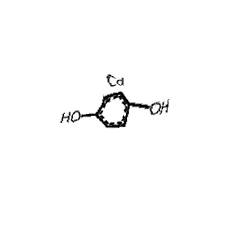 Oc1ccc(O)cc1.[Cd]